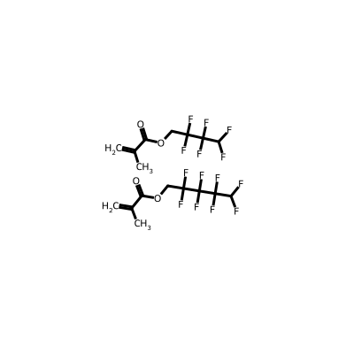 C=C(C)C(=O)OCC(F)(F)C(F)(F)C(F)(F)C(F)F.C=C(C)C(=O)OCC(F)(F)C(F)(F)C(F)F